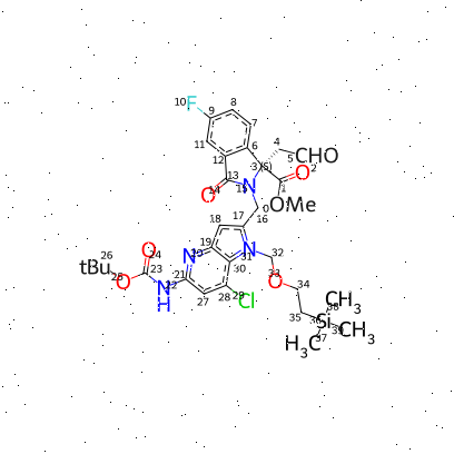 COC(=O)[C@]1(CC=O)c2ccc(F)cc2C(=O)N1Cc1cc2nc(NC(=O)OC(C)(C)C)cc(Cl)c2n1COCC[Si](C)(C)C